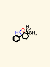 BC1(B)CCC[C@@](NC)(c2cc#ccc2)C1=O